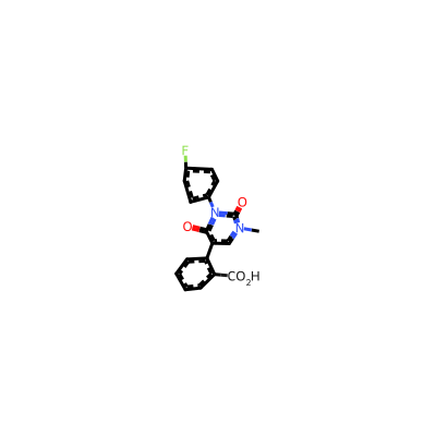 Cn1cc(-c2ccccc2C(=O)O)c(=O)n(-c2ccc(F)cc2)c1=O